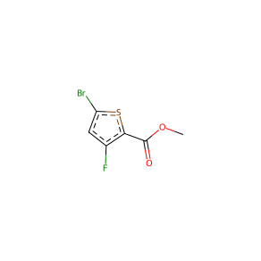 COC(=O)c1sc(Br)cc1F